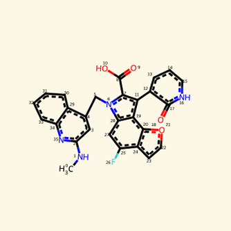 CNc1cc(Cn2c(C(=O)O)c(-c3ccc[nH]c3=O)c3c4occc4c(F)cc32)c2ccccc2n1